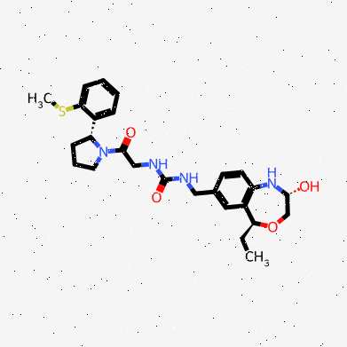 CC[C@@H]1OC[C@@H](O)Nc2ccc(CNC(=O)NCC(=O)N3CCC[C@@H]3c3ccccc3SC)cc21